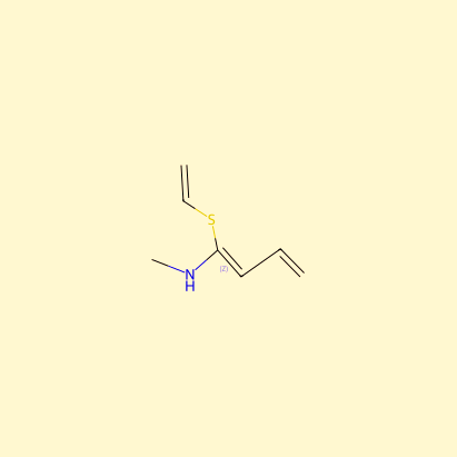 C=C/C=C(/NC)SC=C